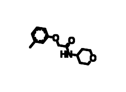 Cc1cccc(OCC(=O)NC2CCOCC2)c1